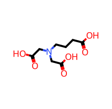 O=C(O)CCCN(CC(=O)O)CC(=O)O